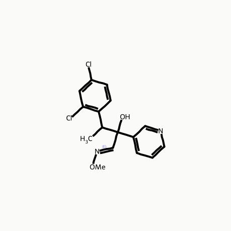 CO/N=C/C(O)(c1cccnc1)C(C)c1ccc(Cl)cc1Cl